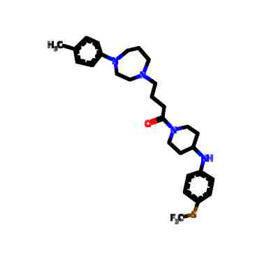 Cc1ccc(N2CCCN(CCCC(=O)N3CCC(Nc4ccc(SC(F)(F)F)cc4)CC3)CC2)cc1